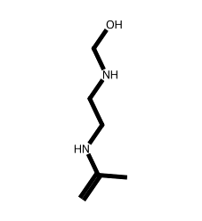 C=C(C)NCCNCO